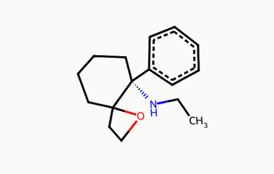 CCN[C@@]1(c2ccccc2)CCCCC12CCO2